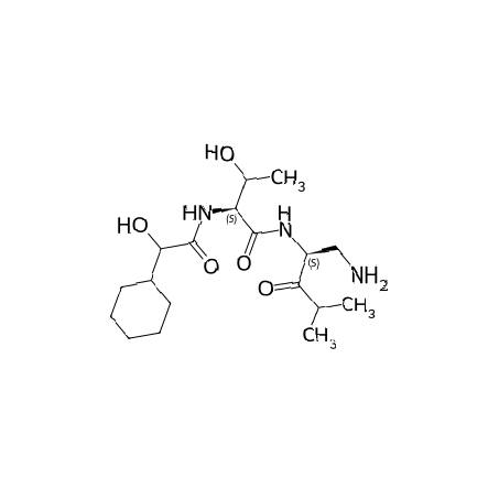 CC(C)C(=O)[C@H](CN)NC(=O)[C@@H](NC(=O)C(O)C1CCCCC1)C(C)O